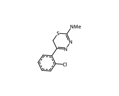 CNC1=NN=C(c2ccccc2Cl)CS1